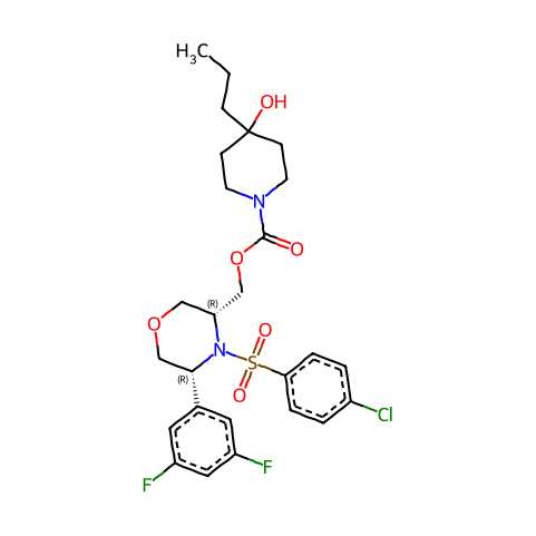 CCCC1(O)CCN(C(=O)OC[C@H]2COC[C@@H](c3cc(F)cc(F)c3)N2S(=O)(=O)c2ccc(Cl)cc2)CC1